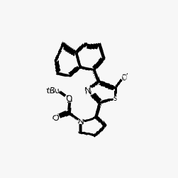 CC(C)(C)OC(=O)N1CCCC1c1nc(-c2cccc3ccccc23)c(Cl)s1